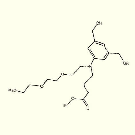 COCCOCCOCCN(CCCC(=O)OC(C)C)c1cc(CO)cc(CO)c1